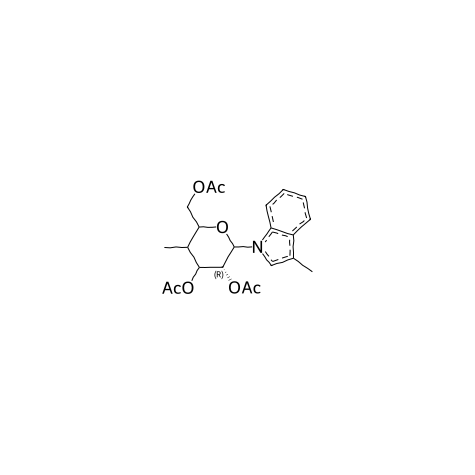 CC(=O)OCC1OC(n2cc(C)c3ccccc32)[C@H](OC(C)=O)C(OC(C)=O)C1C